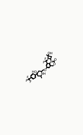 CC1CC(O)(c2ccc(C(F)(F)F)cc2)CC(COc2cc3c(c(C(F)(F)F)c2)N(C2CC(C)(O)C2)C(=O)OC3)N1